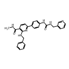 CNC(=O)c1ccc(-c2ccc(NC(=O)NCc3cccnc3)cc2)nc1NCc1ccccc1